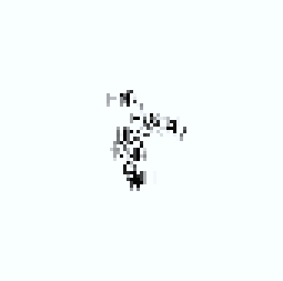 CC(C)(C)c1ccc(NC(=O)c2cccnc2Nc2ccc3cn[nH]c3c2)cc1CCCC1CCCNC1